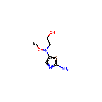 CCON(CCO)c1cnc(N)s1